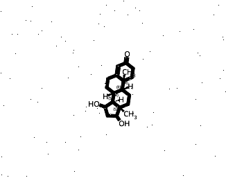 C[C@]12CCC(=O)C=C1CC[C@@H]1[C@H]2CC[C@]2(C)C(O)CC(O)[C@@H]12